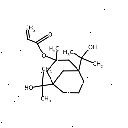 C=CC(=O)OC1(C)CC2(C(C)(C)O)CCCC(C(C)(C)O)(C1)C2